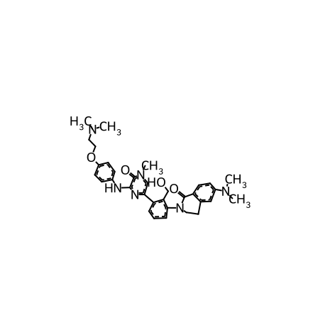 CN(C)CCOc1ccc(Nc2nc(-c3cccc(N4CCc5cc(N(C)C)ccc5C4=O)c3CO)cn(C)c2=O)cc1